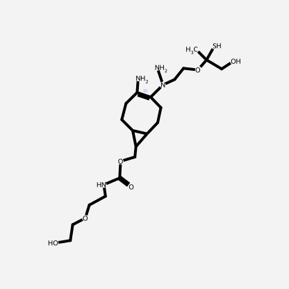 CC(S)(CO)OCCN(N)/C1=C(\N)CCC2C(CC1)C2COC(=O)NCCOCCO